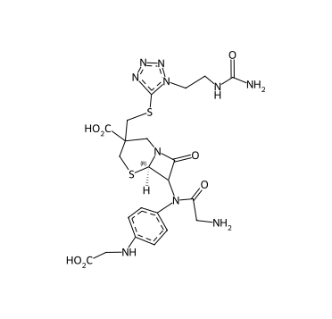 NCC(=O)N(c1ccc(NCC(=O)O)cc1)C1C(=O)N2CC(CSc3nnnn3CCNC(N)=O)(C(=O)O)CS[C@H]12